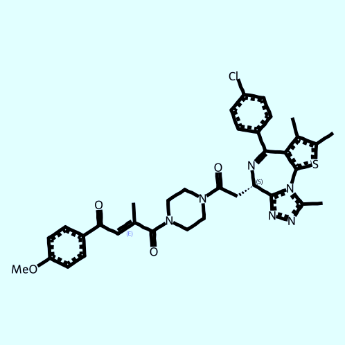 COc1ccc(C(=O)/C=C(\C)C(=O)N2CCN(C(=O)C[C@@H]3N=C(c4ccc(Cl)cc4)c4c(sc(C)c4C)-n4c(C)nnc43)CC2)cc1